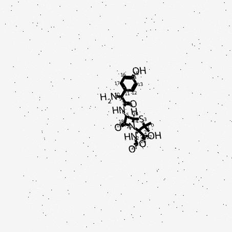 CC1(C)S[C@@H]2[C@@H](NC(=O)C(N)c3ccc(O)cc3)C(=O)N2[C@@]1(NC=O)C(=O)O